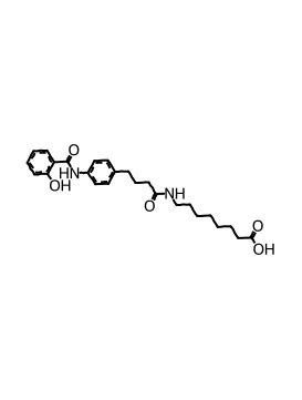 O=C(O)CCCCCCCNC(=O)CCCc1ccc(NC(=O)c2ccccc2O)cc1